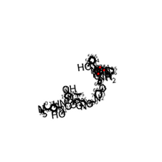 Cc1ncsc1-c1ccc([C@H](CO)NC(=O)[C@@H]2C[C@@H](O)CN2C(=O)[C@H](c2cc(OCCN3CCC(OC4CC(Oc5cc(N6C7CC[C@@H]6CN(c6cc(-c8ccccc8O)nnc6N)C7)ccn5)C4)CC3)no2)C(C)C)cc1